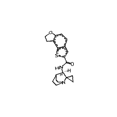 O=C(N[C@@H]1C2CCN(CC2)C12CC2)c1cc2ccc3c(c2s1)CCO3